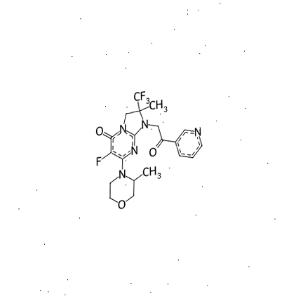 CC1COCCN1c1nc2n(c(=O)c1F)CC(C)(C(F)(F)F)N2CC(=O)c1cccnc1